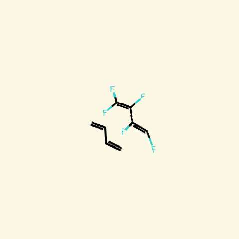 C=CC=C.FC=C(F)C(F)=C(F)F